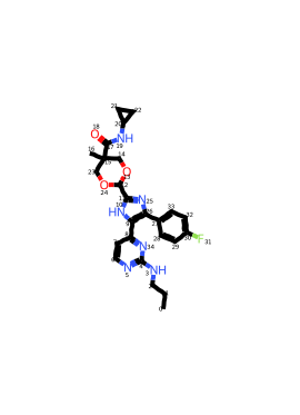 CCCNc1nccc(-c2[nH]c(C3OCC(C)(C(=O)NC4CC4)CO3)nc2-c2ccc(F)cc2)n1